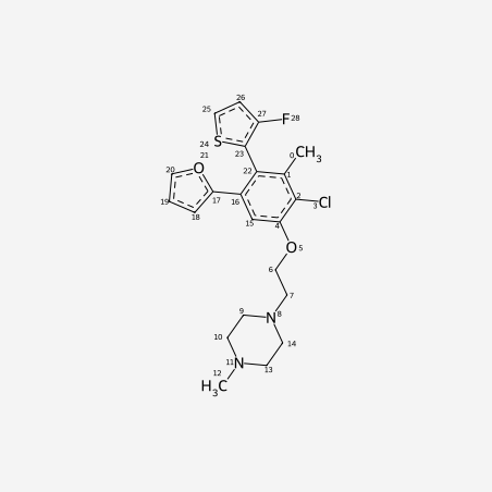 Cc1c(Cl)c(OCCN2CCN(C)CC2)cc(-c2ccco2)c1-c1sccc1F